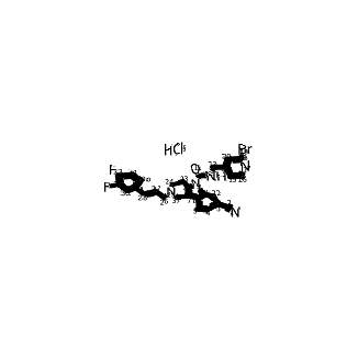 Cl.N#Cc1ccc2c3c(n(C(=O)NCc4ccnc(Br)c4)c2c1)CCN(C/C=C/c1ccc(F)c(F)c1)C3